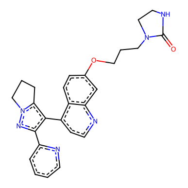 O=C1NCCN1CCCOc1ccc2c(-c3c(-c4ccccn4)nn4c3CCC4)ccnc2c1